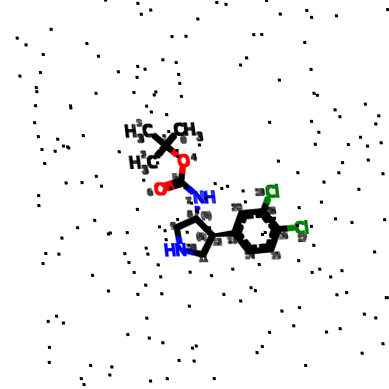 CC(C)(C)OC(=O)N[C@H]1CNC[C@@H]1c1ccc(Cl)c(Cl)c1